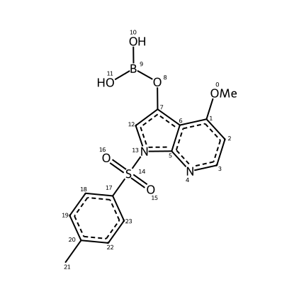 COc1ccnc2c1c(OB(O)O)cn2S(=O)(=O)c1ccc(C)cc1